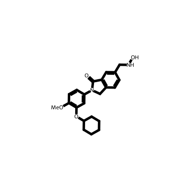 COc1ccc(N2Cc3ccc(CNO)cc3C2=O)cc1OC1CCCCC1